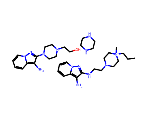 C1CNCCN1.CCC[N+]1(C)CCN(CCNc2nn3ccccc3c2N)CC1.Nc1c(N2CCN(CCO)CC2)nn2ccccc12